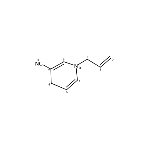 C=CCN1C=CCC(C#N)=C1